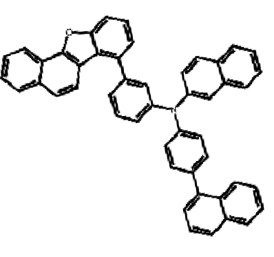 c1cc(-c2cccc3oc4c5ccccc5ccc4c23)cc(N(c2ccc(-c3cccc4ccccc34)cc2)c2ccc3ccccc3c2)c1